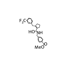 COC(=O)c1ccc(CNC(O)C2=C(Cc3cccc(C(F)(F)F)c3)CCC2)cc1